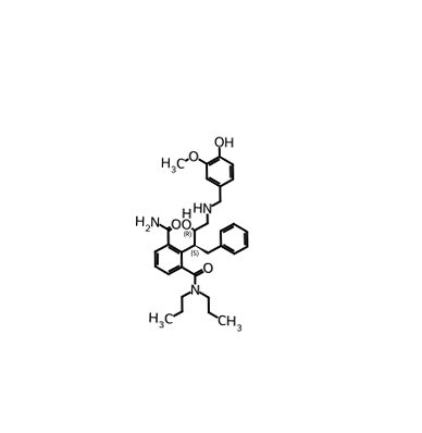 CCCN(CCC)C(=O)c1cccc(C(N)=O)c1[C@H](Cc1ccccc1)[C@@H](O)CNCc1ccc(O)c(OC)c1